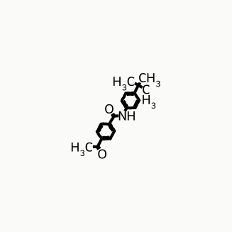 CC(=O)c1ccc(C(=O)Nc2ccc(C(C)(C)C)cc2)cc1